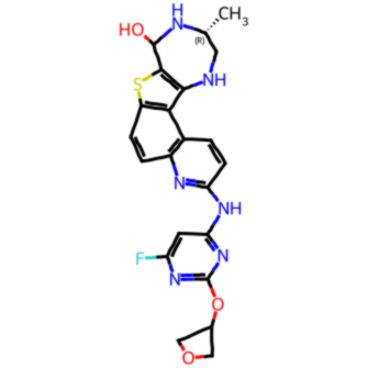 C[C@@H]1CNc2c(sc3ccc4nc(Nc5cc(F)nc(OC6COC6)n5)ccc4c23)C(O)N1